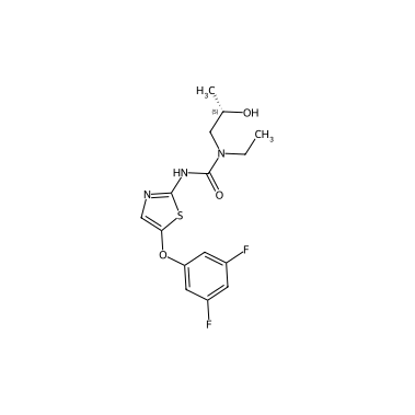 CCN(C[C@H](C)O)C(=O)Nc1ncc(Oc2cc(F)cc(F)c2)s1